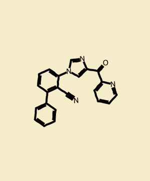 N#Cc1c(-c2ccccc2)cccc1-n1cnc(C(=O)c2ccccn2)c1